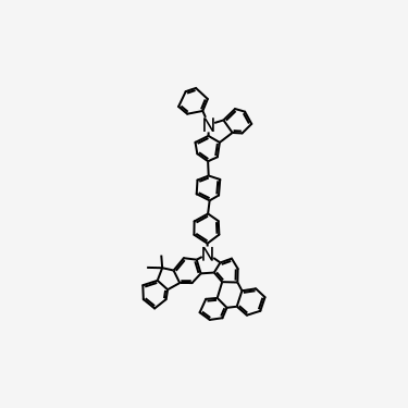 CC1(C)c2ccccc2-c2cc3c4c5c6ccccc6c6ccccc6c5ccc4n(-c4ccc(-c5ccc(-c6ccc7c(c6)c6ccccc6n7-c6ccccc6)cc5)cc4)c3cc21